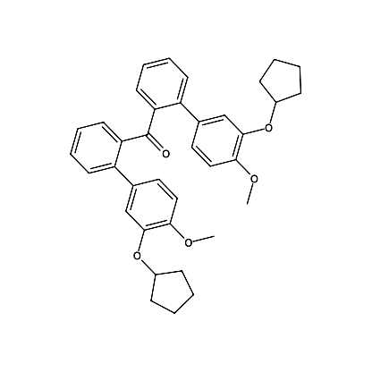 COc1ccc(-c2ccccc2C(=O)c2ccccc2-c2ccc(OC)c(OC3CCCC3)c2)cc1OC1CCCC1